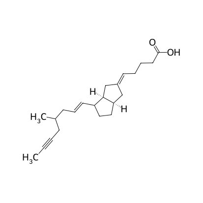 CC#CCC(C)C/C=C/C1CC[C@@H]2C/C(=C\CCCC(=O)O)C[C@H]12